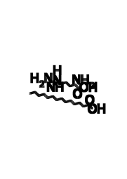 CCCCCCCCCCCCCC(=O)O.N=C(N)NCCCC(N)C(=O)O